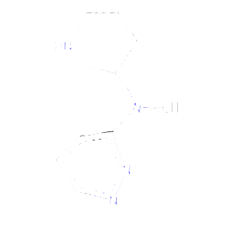 CN(c1ccc(Cl)nn1)C1CCCNC1